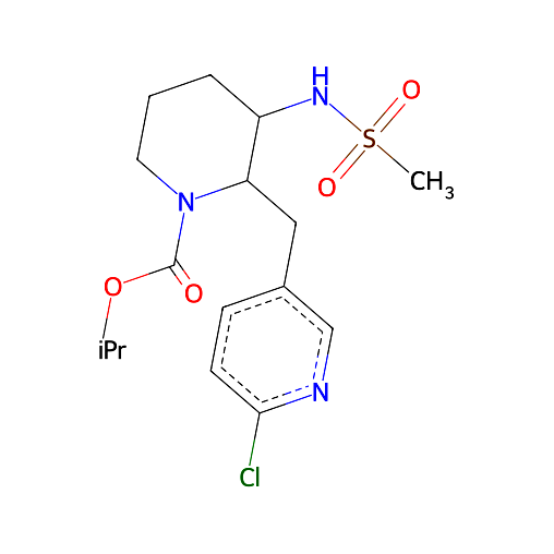 CC(C)OC(=O)N1CCCC(NS(C)(=O)=O)C1Cc1ccc(Cl)nc1